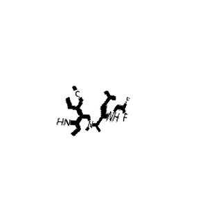 C=C=C/C(C=C)=C(\CN(C)C(C)/C(=C/C(=C)C)NCC(F)F)C(=N)C=C